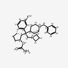 NC(=O)O[C@H]1CCC[C@@H]1[C@](CN1CCC1)(c1cccc(F)c1)C1CCN(Cc2ccccc2)CC1